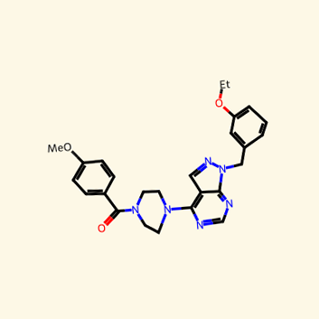 CCOc1cccc(Cn2ncc3c(N4CCN(C(=O)c5ccc(OC)cc5)CC4)ncnc32)c1